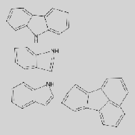 c1ccc2[nH]ccc2c1.c1ccc2[nH]ccc2c1.c1ccc2c(c1)-c1cccc3cccc-2c13.c1ccc2c(c1)[nH]c1ccccc12